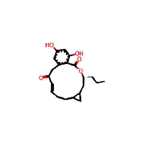 CCC[C@@H]1CC2CC2CC/C=C/C(=O)Cc2cc(O)cc(O)c2C(=O)O1